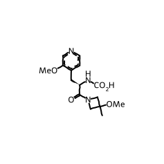 COc1cnccc1C[C@@H](NC(=O)O)C(=O)N1CC(C)(OC)C1